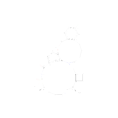 CC[C@@H]1CC/C=C/[C@H](OC)C2CCC2CN2CCCCc3cc(Cl)ccc3COc3ccc(cc32)C(=O)NS1(=O)=O